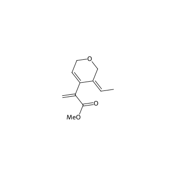 C=C(C(=O)OC)C1=CCOCC1=CC